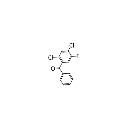 O=C(c1ccccc1)c1cc(F)c(Cl)cc1Cl